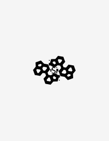 CC1=C([Si](C)(C)C2=C(C)[CH]c3cccc(-c4ccc5c6c(cccc46)C=C5)c32)c2c(cccc2-c2ccc3c4c(cccc24)C=C3)[CH]1